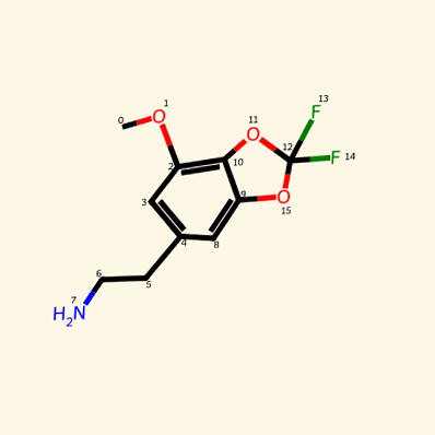 COc1cc(CCN)cc2c1OC(F)(F)O2